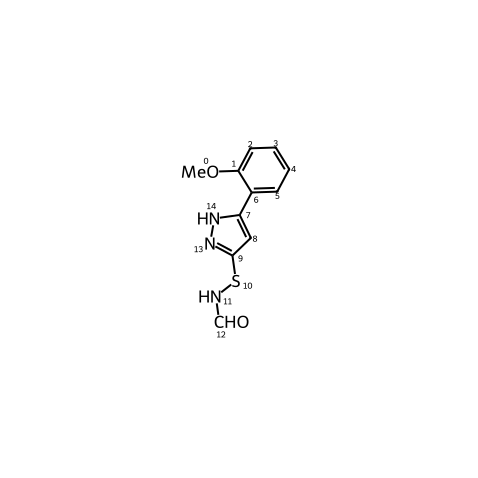 COc1ccccc1-c1cc(SNC=O)n[nH]1